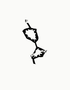 Cc1cnc(-c2ccc(F)cc2)o1